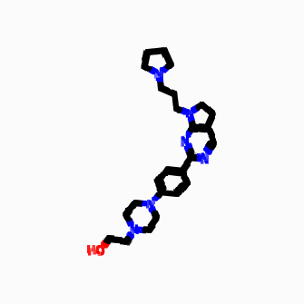 OCCN1CCN(c2ccc(-c3ncc4c(n3)N(CCCN3CCCC3)CC4)cc2)CC1